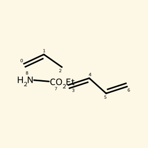 C=CC.C=CC=C.CCOC(N)=O